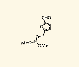 COP(OC)OCc1ccc(C=O)o1